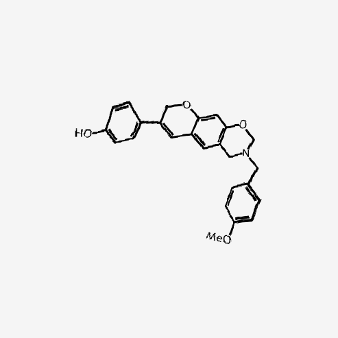 COc1ccc(CN2COc3cc4c(cc3C2)C=C(c2ccc(O)cc2)CO4)cc1